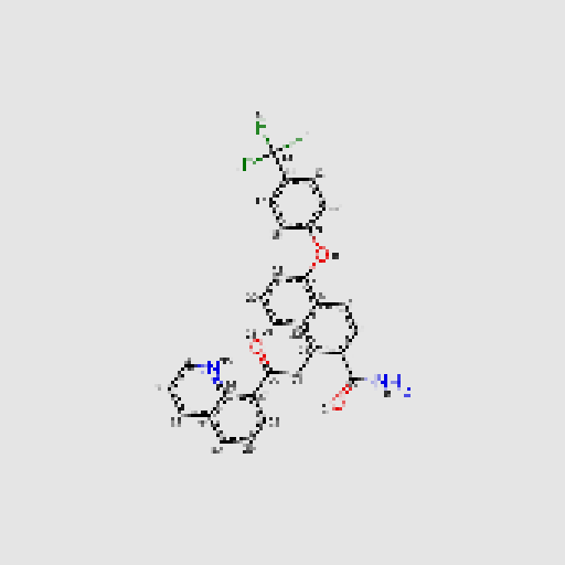 NC(=O)c1ccc2c(Oc3ccc(C(F)(F)F)cc3)cccc2c1CC(=O)c1cccc2cccnc12